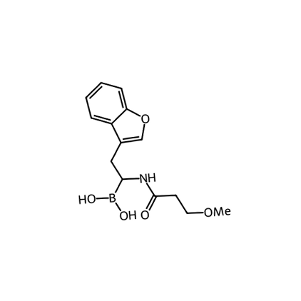 COCCC(=O)NC(Cc1coc2ccccc12)B(O)O